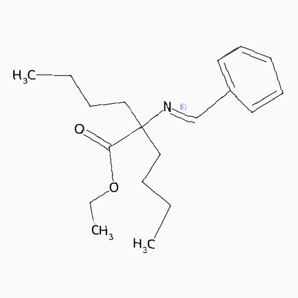 CCCCC(CCCC)(/N=C/c1ccccc1)C(=O)OCC